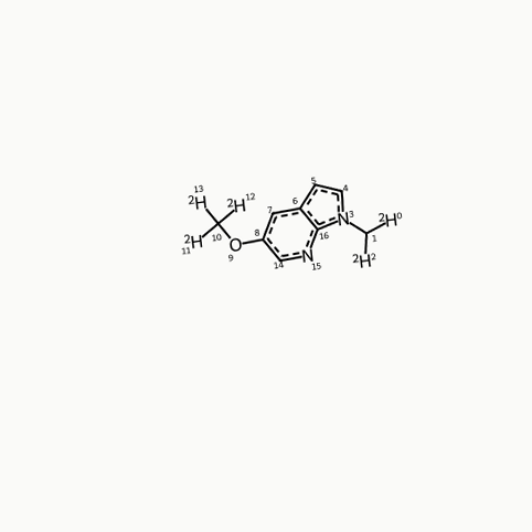 [2H]C([2H])n1ccc2cc(OC([2H])([2H])[2H])cnc21